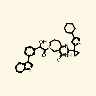 O=C(C(O)c1cccc(-c2csc3ccccc23)c1)N1CCCc2nc(C3(c4cc(C5CCCCC5)cs4)CC3)[nH]c(=O)c2C1